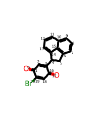 O=C1C=C(C2Cc3cccc4cccc2c34)C(=O)C=C1Br